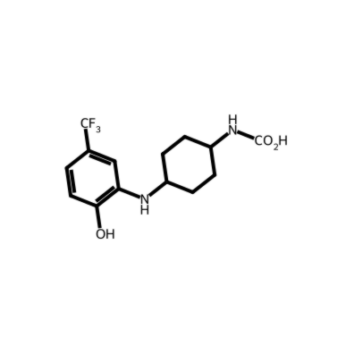 O=C(O)NC1CCC(Nc2cc(C(F)(F)F)ccc2O)CC1